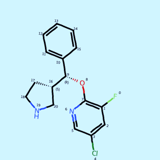 Fc1cc(Cl)cnc1O[C@@H](c1ccccc1)[C@H]1CCNC1